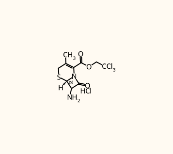 CC1=C(C(=O)OCC(Cl)(Cl)Cl)N2C(=O)C(N)[C@@H]2SC1.Cl